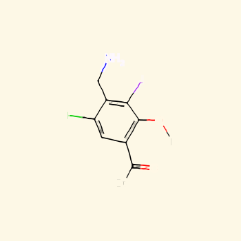 CCOc1c(C(=O)CC)cc(Cl)c(CN)c1I